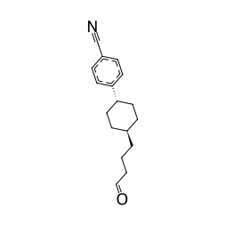 N#Cc1ccc([C@H]2CC[C@H](CCCC=O)CC2)cc1